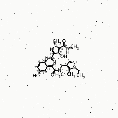 CCn1ncc(CN(C)C(=O)c2nc(-c3nn(C)c(C(=O)NC)c3O)nc3ccc(O)cc23)c1C